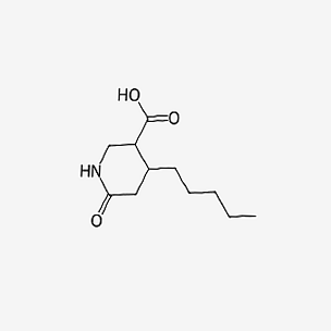 CCCCCC1CC(=O)NCC1C(=O)O